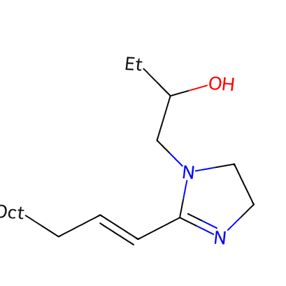 CCCCCCCCC/C=C/C1=NCCN1CC(O)CC